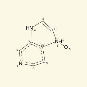 [O-][NH+]1C=CNc2cnccc21